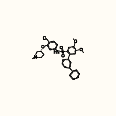 COc1cc(-c2cccc(-c3ccccc3)c2)c(S(=O)(=O)Nc2ccc(Cl)c(O[C@@H]3CCN(C)C3)c2)cc1OC